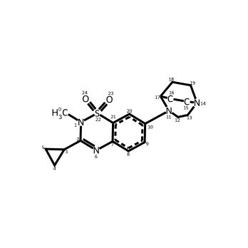 CN1C(C2CC2)=Nc2ccc(N3CCN4CCC3CC4)cc2S1(=O)=O